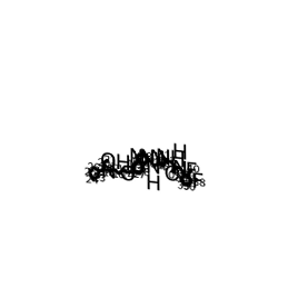 O=C(Cc1cc(Nc2ncnc3cc(OCCC=NC(CO)C4CCCC4)ccc23)n[nH]1)Nc1cccc(F)c1F